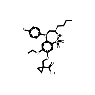 CCCC[C@@H]1CN(c2ccc(F)cc2)c2cc(SCC)c(OCC3(C(=O)O)CC3)cc2S(=O)(=O)N1